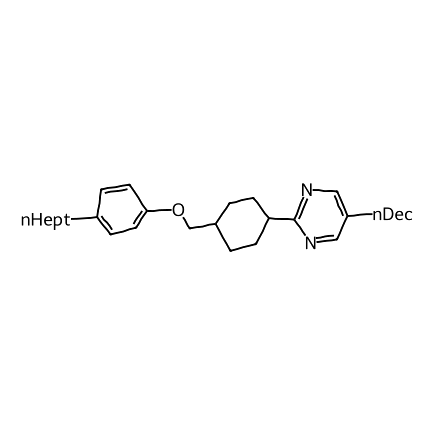 CCCCCCCCCCc1cnc(C2CCC(COc3ccc(CCCCCCC)cc3)CC2)nc1